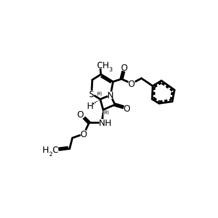 C=CCOC(=O)N[C@@H]1C(=O)N2C(C(=O)OCc3ccccc3)=C(C)CS[C@H]12